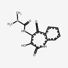 CN(C)C(=O)Nc1c(O)c(=O)[nH]c2ccccc2c1=O